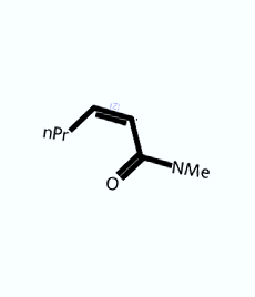 CCC/C=[C]\C(=O)NC